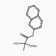 CCCCCCCCC(C)(CCCCCC)C(=O)Oc1ccc2ccccc2c1